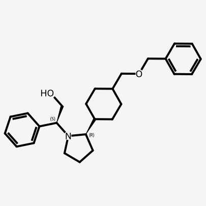 OC[C@H](c1ccccc1)N1CCC[C@@H]1C1CCC(COCc2ccccc2)CC1